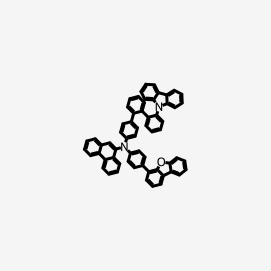 c1ccc(-c2ccccc2-n2c3ccccc3c3ccccc32)c(-c2ccc(N(c3ccc(-c4cccc5c4oc4ccccc45)cc3)c3cc4ccccc4c4ccccc34)cc2)c1